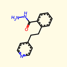 NNC(=O)c1ccccc1CCc1ccncc1